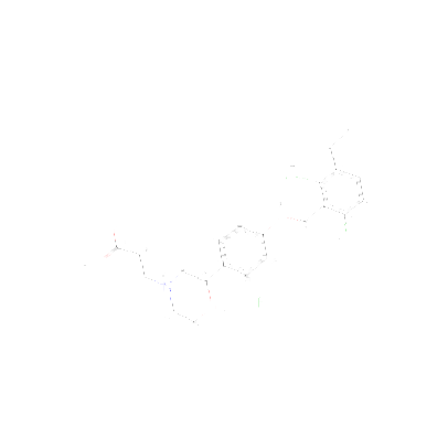 CCc1ccc(Cl)c(COc2ccc(C3CN(CCC(=O)O)CCO3)cc2)c1Cl.Cl